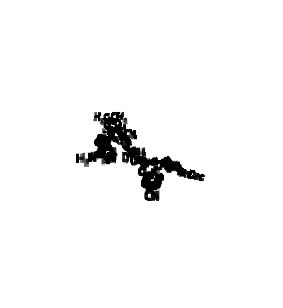 CCCCCCCCCCCCCCOC[C@H](COP(=O)(O)OC[C@@]1(C#N)O[C@@H](c2ccc3c(N)ncnn23)[C@@H]2OC(C)(C)O[C@@H]21)Oc1cc(C#N)ccn1